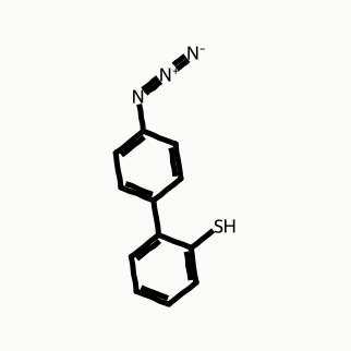 [N-]=[N+]=Nc1ccc(-c2ccccc2S)cc1